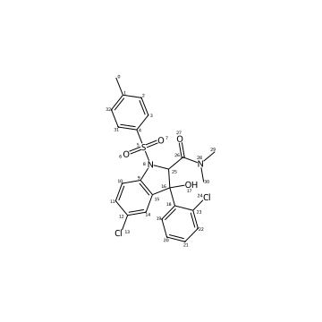 Cc1ccc(S(=O)(=O)N2c3ccc(Cl)cc3C(O)(c3ccccc3Cl)C2C(=O)N(C)C)cc1